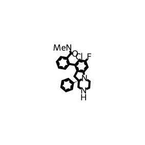 CNC(=O)c1ccccc1-c1c(Cl)c(F)cc2c1C[C@]1(c3ccccc3)CNCCN21